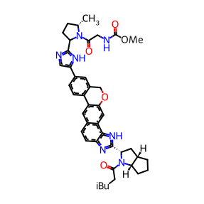 CCC(C)CC(=O)N1[C@H](c2nc3ccc4cc5c(cc4c3[nH]2)OCc2cc(-c3cnc(C4CC[C@H](C)N4C(=O)CNC(=O)OC)[nH]3)ccc2-5)C[C@@H]2CCC[C@@H]21